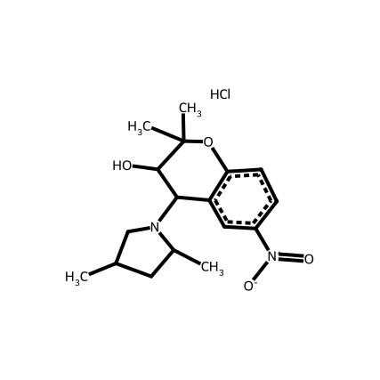 CC1CC(C)N(C2c3cc([N+](=O)[O-])ccc3OC(C)(C)C2O)C1.Cl